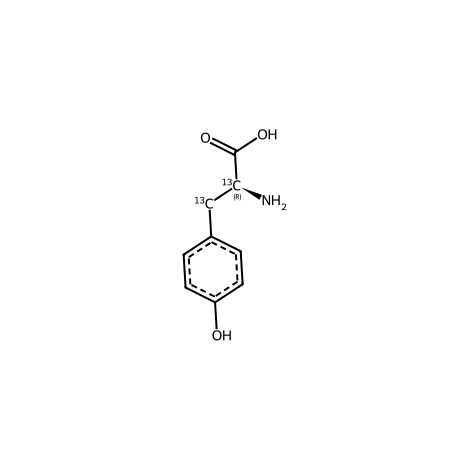 N[13C@@H]([13CH2]c1ccc(O)cc1)C(=O)O